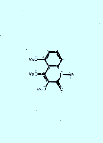 COC(C(=O)OC(C)C)=C(OC)c1ccccc1OC